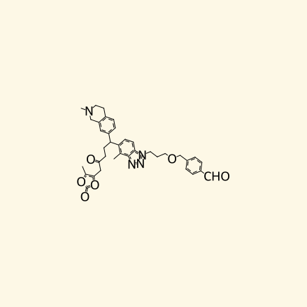 Cc1oc(=O)oc1CC(=O)CCC(c1ccc2c(c1)CN(C)CC2)c1ccc2c(nnn2CCCOCc2ccc(C=O)cc2)c1C